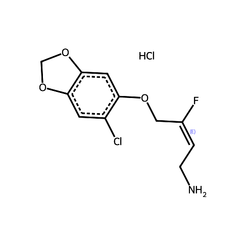 Cl.NC/C=C(/F)COc1cc2c(cc1Cl)OCO2